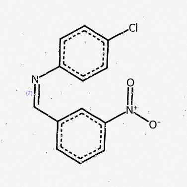 O=[N+]([O-])c1cccc(/C=N\c2ccc(Cl)cc2)c1